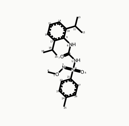 CON=S(=O)(NC(=O)Nc1c(C(C)C)cccc1C(C)C)c1ccc(C)cc1